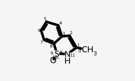 CC1=Cc2ccccc2[S+]([O-])N1